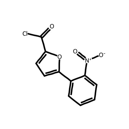 O=C(Cl)c1ccc(-c2ccccc2[N+](=O)[O-])o1